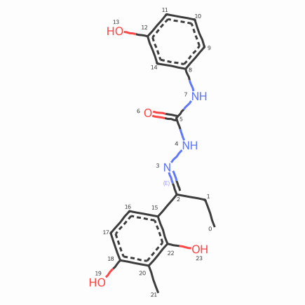 CC/C(=N\NC(=O)Nc1cccc(O)c1)c1ccc(O)c(C)c1O